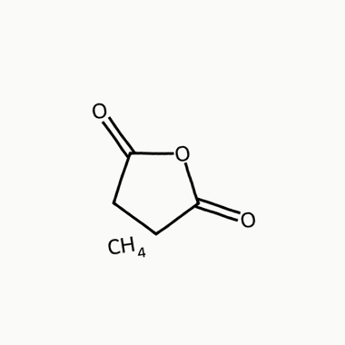 C.O=C1CCC(=O)O1